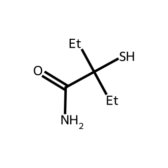 CCC(S)(CC)C(N)=O